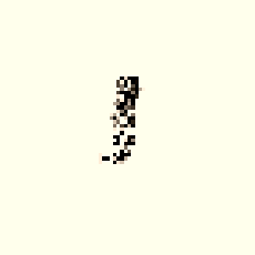 COC1(OO[C@H]2CC[C@@H](C3CCC(=NO)CC3)CC2)C2CC3CC(C2)CC1C3